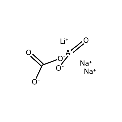 O=C([O-])[O-].[Li+].[Na+].[Na+].[O]=[Al][O-]